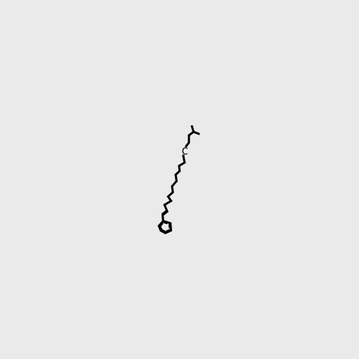 CC(C)CCCCCCCCCCCCCCCC=Cc1ccccc1